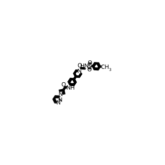 Cc1ccc(S(=O)(=O)NCC(=O)N2CCC(c3ccc(NC(=O)C4CN(c5cccnn5)C4)cc3)CC2)cc1